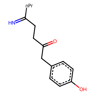 CCCC(=N)CCC(=O)Cc1ccc(O)cc1